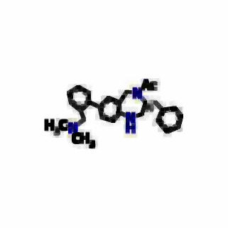 CC(=O)N1Cc2cc(-c3ccccc3CN(C)C)ccc2NC[C@H]1Cc1ccccc1